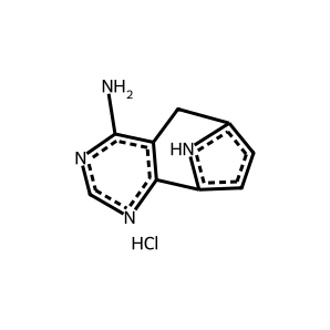 Cl.Nc1ncnc2c1Cc1ccc-2[nH]1